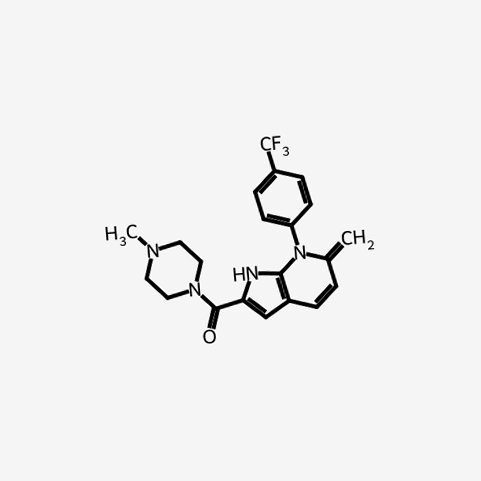 C=C1C=Cc2cc(C(=O)N3CCN(C)CC3)[nH]c2N1c1ccc(C(F)(F)F)cc1